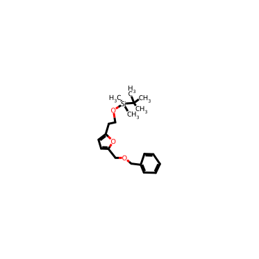 CC(C)(C)[Si](C)(C)OCCc1ccc(COCc2ccccc2)o1